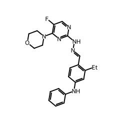 CCc1cc(Nc2ccccc2)ccc1/C=N/Nc1ncc(F)c(N2CCOCC2)n1